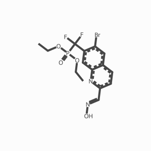 CCOP(=O)(OCC)C(F)(F)c1cc2nc(C=NO)ccc2cc1Br